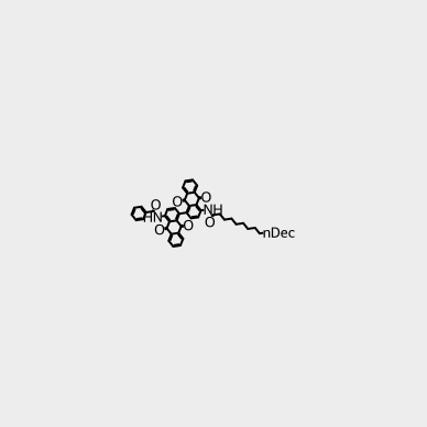 CCCCCCCCCCCCCCCCCCC(=O)Nc1ccc(-c2ccc(NC(=O)c3ccccc3)c3c2C(=O)c2ccccc2C3=O)c2c1C(=O)c1ccccc1C2=O